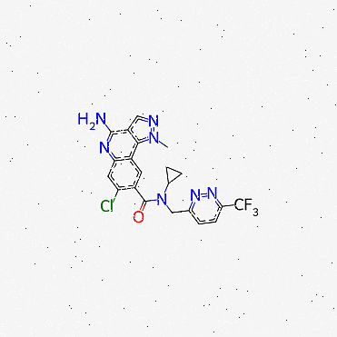 Cn1ncc2c(N)nc3cc(Cl)c(C(=O)N(Cc4ccc(C(F)(F)F)nn4)C4CC4)cc3c21